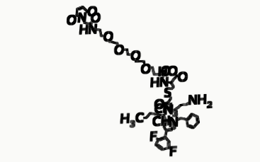 CCCC(C)(C)C(c1cc(-c2cc(F)ccc2F)cn1Cc1ccccc1)N(CCCN)C(=O)CSCC(NC(=O)CCOCCOCCOCCOCCNC(=O)CN1C(=O)C=CC1=O)C(=O)O